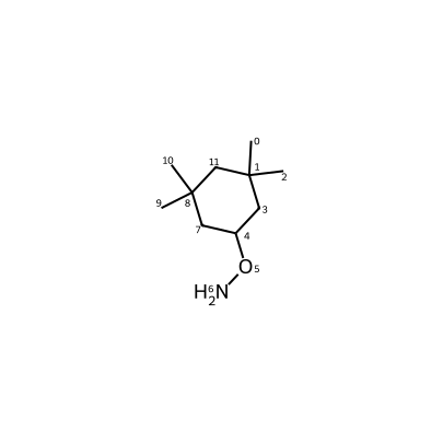 CC1(C)CC(ON)CC(C)(C)C1